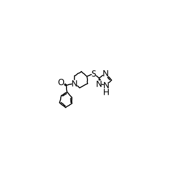 O=C(c1ccccc1)N1CCC(Sc2nc[nH]n2)CC1